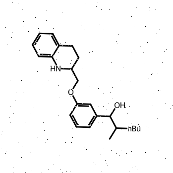 CCCCC(C)C(O)c1cccc(OCC2CCc3ccccc3N2)c1